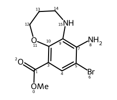 COC(=O)c1cc(Br)c(N)c2c1OCCCN2